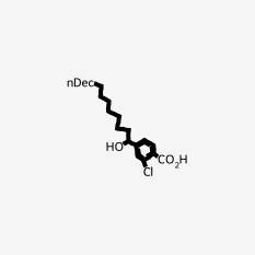 CCCCCCCCCCCCCCCCCC(O)c1ccc(C(=O)O)c(Cl)c1